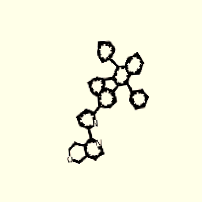 c1ccc(-c2c3c(c(-c4ccccc4)c4ccccc24)-c2ccc(-c4cccc(-c5nccc6c5CCOC6)n4)c4cccc-3c24)cc1